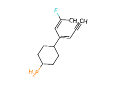 C#C/C=C(\C=C(/C)F)C1CCC(P)CC1